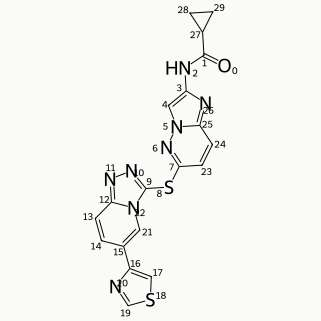 O=C(Nc1cn2nc(Sc3nnc4ccc(-c5cscn5)cn34)ccc2n1)C1CC1